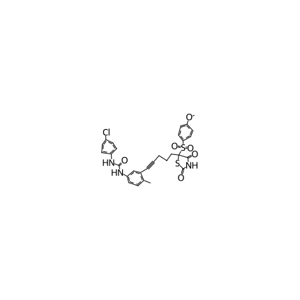 COc1ccc(S(=O)(=O)C2(CCCC#Cc3cc(NC(=O)Nc4ccc(Cl)cc4)ccc3C)SC(=O)NC2=O)cc1